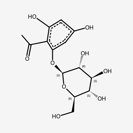 CC(=O)c1c(O)cc(O)cc1O[C@@H]1O[C@H](CO)[C@@H](O)[C@H](O)[C@H]1O